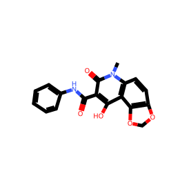 Cn1c(=O)c(C(=O)Nc2ccccc2)c(O)c2c3c(ccc21)OCO3